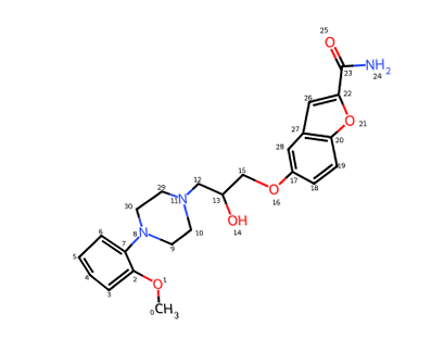 COc1ccccc1N1CCN(CC(O)COc2ccc3oc(C(N)=O)cc3c2)CC1